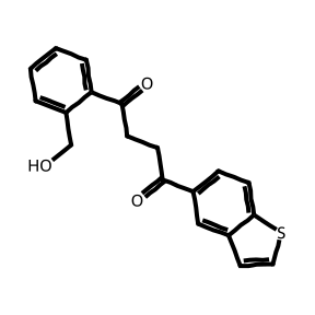 O=C(CCC(=O)c1ccccc1CO)c1ccc2sccc2c1